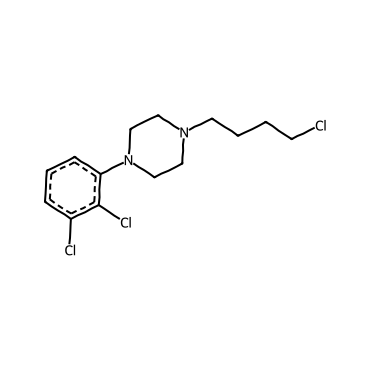 ClCCCCN1CCN(c2cccc(Cl)c2Cl)CC1